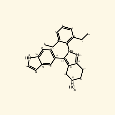 CCc1cccc(CC)c1-n1nc2c(c1-c1ccc3[nH]ccc3c1)CNCC2.Cl